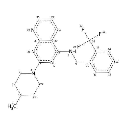 CC1CCN(c2nc(NCc3ccccc3C(F)(F)F)c3cccnc3n2)CC1